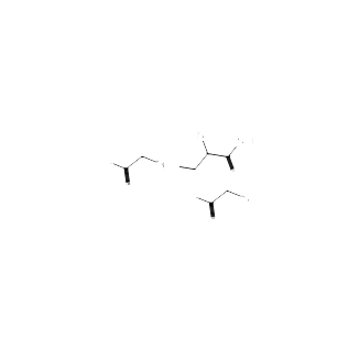 NC(=O)C(N)CS.NCC(=O)O.NCC(=O)O